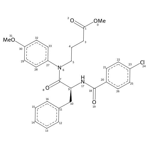 COC(=O)CCCN(C(=O)[C@H](Cc1ccccc1)NC(=O)c1ccc(Cl)cc1)c1ccc(OC)cc1